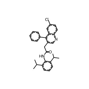 CC(C)c1cccc(C(C)C)c1NC(=O)Cc1cnc2ccc(Cl)cc2c1-c1ccccc1